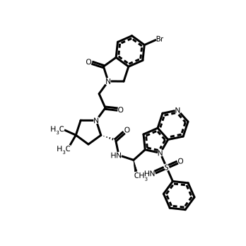 C[C@@H](NC(=O)[C@@H]1CC(C)(C)CN1C(=O)CN1Cc2cc(Br)ccc2C1=O)c1cc2cnccc2n1S(=N)(=O)c1ccccc1